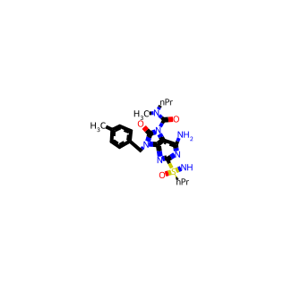 CCCN(C)C(=O)n1c(=O)n(Cc2ccc(C)cc2)c2nc([S@](=N)(=O)CCC)nc(N)c21